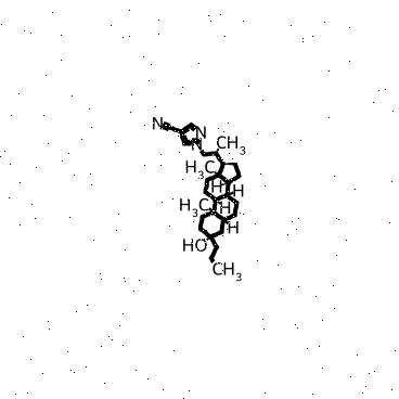 CCC[C@@]1(O)CC[C@@]2(C)[C@H](CC[C@@H]3[C@@H]2CC[C@]2(C)[C@@H]([C@@H](C)Cn4cc(C#N)cn4)CC[C@@H]32)C1